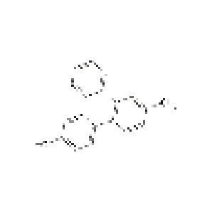 Cc1ccc(-c2ccc(O)cc2)c(-c2ccccc2)c1